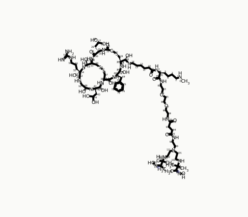 CNCCCC[C@H](NC(=O)CCCCCN[C@@H](O)[C@@H]1CSCC(=O)N[C@@H](CC(O)O)C(=O)N[C@H]2CSSC[C@H](N[C@H](O)[C@@H](CC(O)O)N[C@@H](O)CN[C@H](O)[C@@H](CCCNC(=N)N)N[C@H]2O)[C@H](O)N[C@H](Cc2ccccc2)[C@@H](O)N1)C(=O)NCCOCCOCCNC(=O)CCC(=O)NCCN(CCNC(C)(C)/C(C)=N\O)CCNC(C)(C)/C(C)=N\O